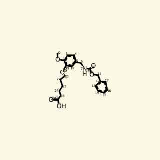 COc1ccc(CNC(=O)OCc2ccccc2)cc1OCCCCCC(=O)O